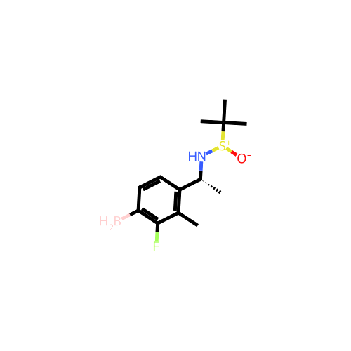 Bc1ccc([C@@H](C)N[S+]([O-])C(C)(C)C)c(C)c1F